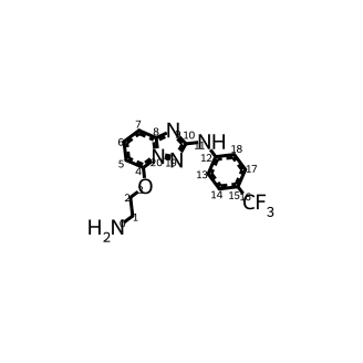 NCCOc1cccc2nc(Nc3ccc(C(F)(F)F)cc3)nn12